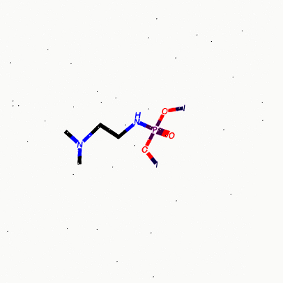 CN(C)CCNP(=O)(OI)OI